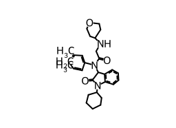 C=C(C)/C=C(\C=C/C)N(C(=O)CNC1CCOCC1)C1C(=O)N(C2CCCCC2)c2ccccc21